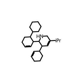 CC(C)C1=CC(C2C=CCCC2)C(C2C=CCCC2C2CCCCC2)NC1